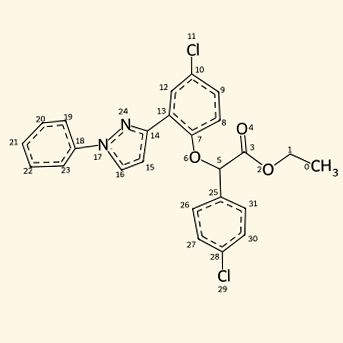 CCOC(=O)C(Oc1ccc(Cl)cc1-c1ccn(-c2ccccc2)n1)c1ccc(Cl)cc1